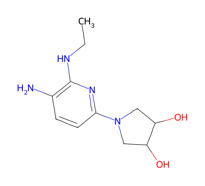 CCNc1nc(N2CC(O)C(O)C2)ccc1N